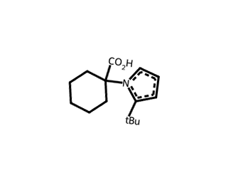 CC(C)(C)c1cccn1C1(C(=O)O)CCCCC1